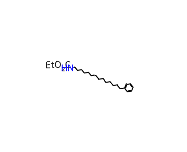 CCOC(=O)NCCCCCCCCCCCCCCc1ccccc1